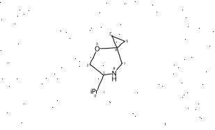 CC(C)C1COC2(CC2)CN1